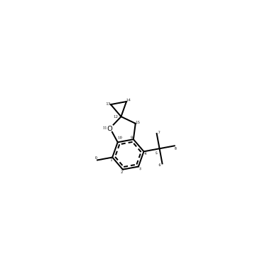 Cc1ccc(C(C)(C)C)c2c1OC1(CC1)C2